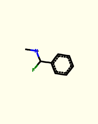 C[N]C(F)c1ccccc1